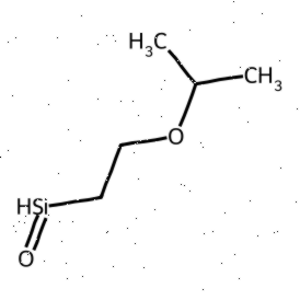 CC(C)OCC[SiH]=O